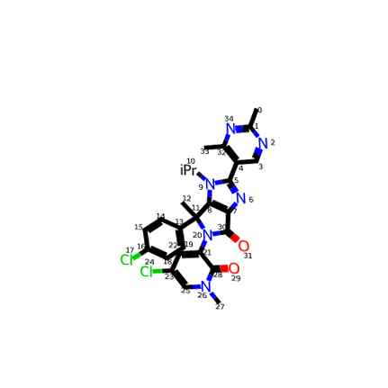 Cc1ncc(-c2nc3c(n2C(C)C)C(C)(c2ccc(Cl)cc2)N(c2cc(Cl)cn(C)c2=O)C3=O)c(C)n1